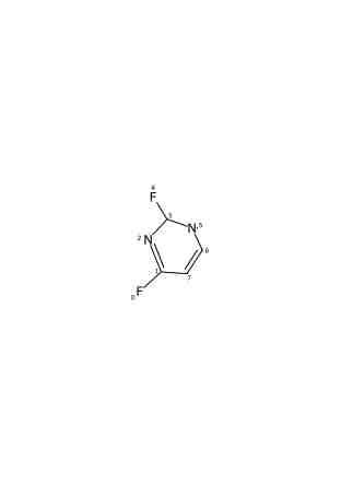 FC1=NC(F)[N]C=C1